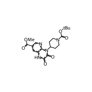 COC(=O)c1cnc2c(c1)[nH]c(=O)c(=O)n2C1CCN(C(=O)OC(C)(C)C)CC1